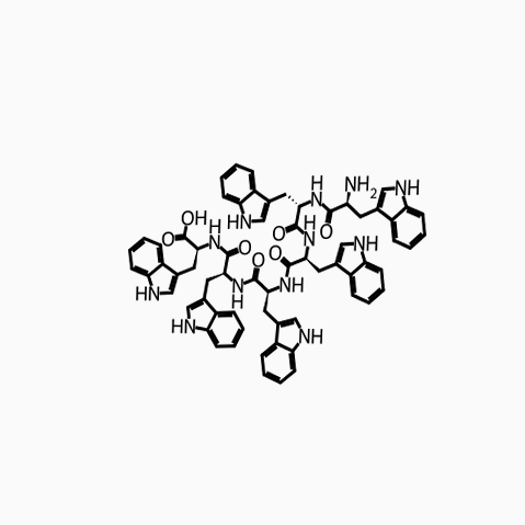 N[C@@H](Cc1c[nH]c2ccccc12)C(=O)N[C@@H](Cc1c[nH]c2ccccc12)C(=O)N[C@@H](Cc1c[nH]c2ccccc12)C(=O)N[C@@H](Cc1c[nH]c2ccccc12)C(=O)N[C@@H](Cc1c[nH]c2ccccc12)C(=O)N[C@@H](Cc1c[nH]c2ccccc12)C(=O)O